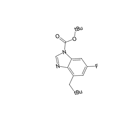 CC(C)(C)Cc1cc(F)cc2c1ncn2C(=O)OC(C)(C)C